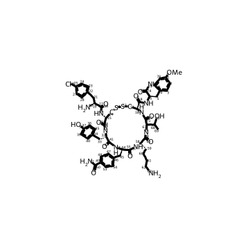 COc1ccc(C[C@@H](NC(=O)[C@@H]2CSSC[C@@H](NC(=O)[C@@H](N)Cc3ccc(Cl)cc3)C(=O)N[C@@H](Cc3ccc(O)cc3)C(=O)N[C@H](Cc3ccc(C(N)=O)cc3)C(=O)N[C@@H](CCCCN)C(=O)NC(C(C)O)C(=O)N2)C(N)=O)cc1